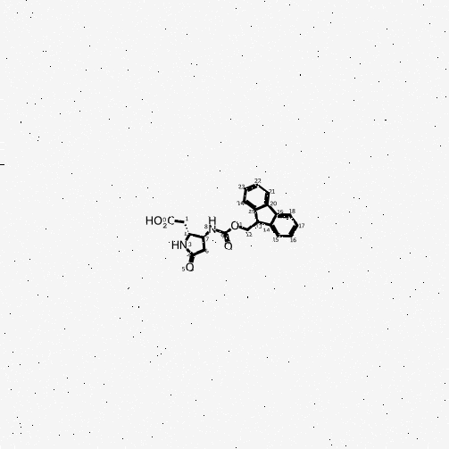 O=C(O)C[C@H]1NC(=O)C[C@@H]1NC(=O)OCC1c2ccccc2-c2ccccc21